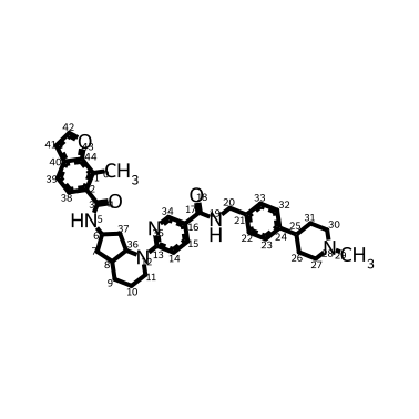 Cc1c(C(=O)NC2CC3CCCN(c4ccc(C(=O)NCc5ccc(C6CCN(C)CC6)cc5)cn4)C3C2)ccc2ccoc12